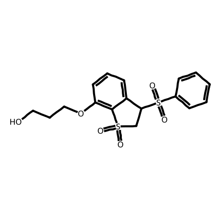 O=S1(=O)CC(S(=O)(=O)c2ccccc2)c2cccc(OCCCO)c21